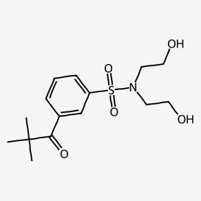 CC(C)(C)C(=O)c1cccc(S(=O)(=O)N(CCO)CCO)c1